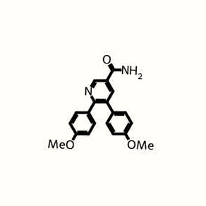 COc1ccc(-c2cc(C(N)=O)cnc2-c2ccc(OC)cc2)cc1